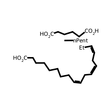 CC/C=C\C/C=C\C/C=C\CCCCCCCC(=O)O.CCCCCC.O=C(O)CCCCC(=O)O